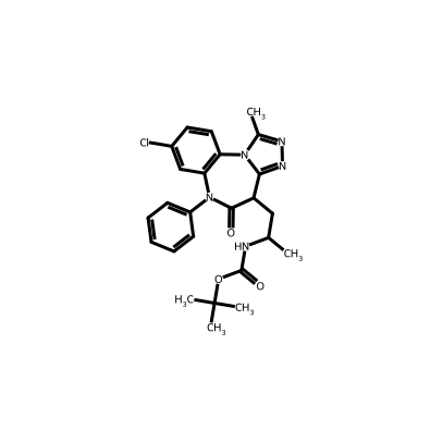 Cc1nnc2n1-c1ccc(Cl)cc1N(c1ccccc1)C(=O)C2CC(C)NC(=O)OC(C)(C)C